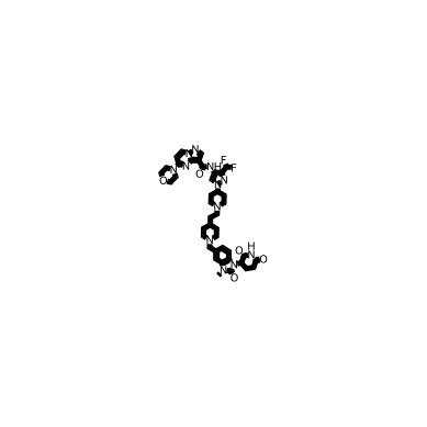 Cn1c(=O)n(C2CCC(=O)NC2=O)c2ccc(CN3CCC(CCN4CCC(n5cc(NC(=O)c6cnn7ccc(N8CCOCC8)nc67)c(C(F)F)n5)CC4)CC3)cc21